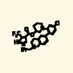 CC(C)CN1CCc2cc(-c3ccc(Cl)cc3N3CCCC(OC(=O)c4cn[nH]c4C(F)(F)F)C3)ccc2C1